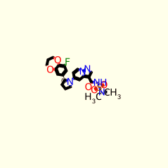 CN(C)S(=O)(=O)NC(=O)c1cnn2ccc(N3CCC[C@@H]3c3cc(F)c4c(c3)OCCCO4)cc12